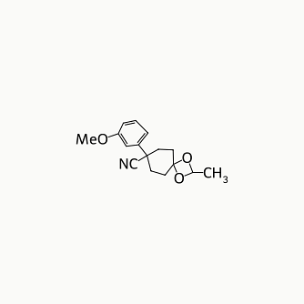 COc1cccc(C2(C#N)CCC3(CC2)OC(C)O3)c1